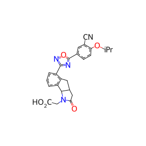 CC(C)Oc1ccc(-c2nc(-c3cccc4c3CC3CC(=O)N(CC(=O)O)C43)no2)cc1C#N